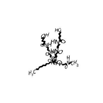 CCCCCCCCCC(=O)NC(COCCC(=O)NCCC)(COCCC(=O)NCCCNC(=O)CCCCO)COCCC(=O)NCCCNC(=O)CCCCO